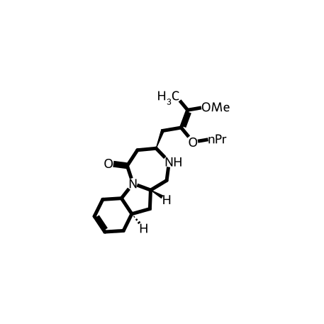 CCCO/C(C[C@@H]1CC(=O)N2C3CC=CC[C@@H]3C[C@H]2CN1)=C(/C)OC